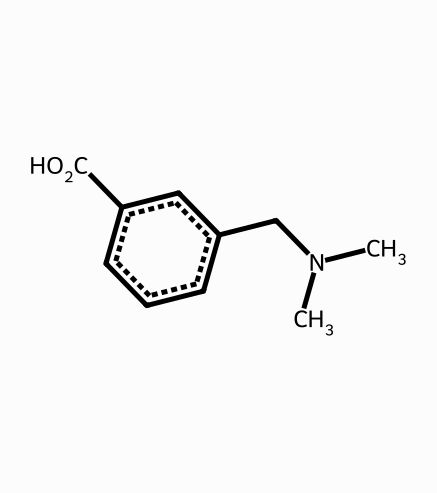 CN(C)Cc1cccc(C(=O)O)c1